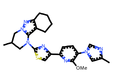 COc1nc(-c2csc(N3CC(C)Cn4nc5c(c43)CCCC5)n2)ccc1-n1cnc(C)c1